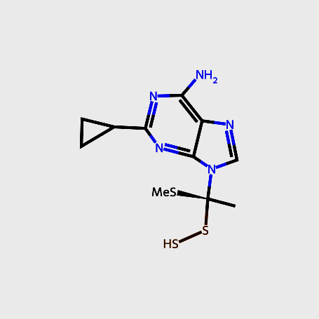 CS[C@@](C)(SS)n1cnc2c(N)nc(C3CC3)nc21